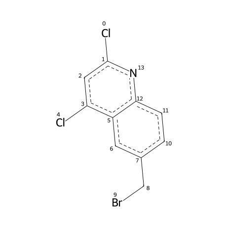 Clc1cc(Cl)c2cc(CBr)ccc2n1